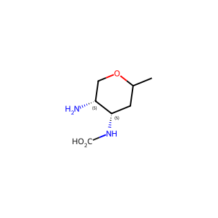 CC1C[C@H](NC(=O)O)[C@H](N)CO1